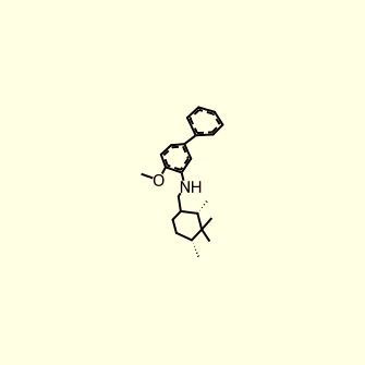 COc1ccc(-c2ccccc2)cc1NCC1CC[C@@H](C)C(C)(C)[C@H]1C